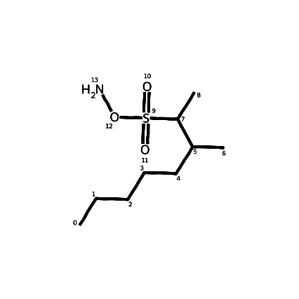 CCCCCC(C)C(C)S(=O)(=O)ON